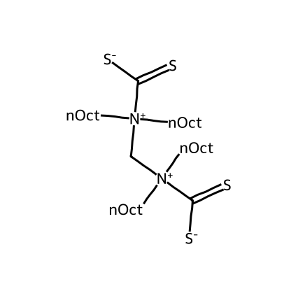 CCCCCCCC[N+](CCCCCCCC)(C[N+](CCCCCCCC)(CCCCCCCC)C(=S)[S-])C(=S)[S-]